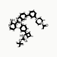 CC(=O)N1CCN(c2cccc(-c3ccc4nc(-c5cccnc5N)n(-c5ccc(C6(NC(=O)OC(C)(C)C)CCC6)cc5)c4n3)c2)CC1